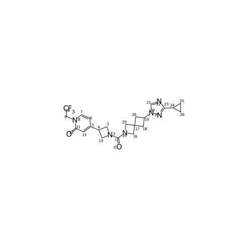 O=C(N1CC(c2ccn(CC(F)(F)F)c(=O)c2)C1)N1CC2(CC(n3cnc(C4CC4)n3)C2)C1